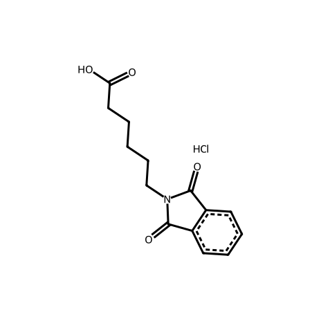 Cl.O=C(O)CCCCCN1C(=O)c2ccccc2C1=O